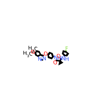 COc1cc2ncnc(Oc3ccc(NC(=O)C4(C(=O)Nc5ccc(F)cc5)CC4)cc3)c2cc1C